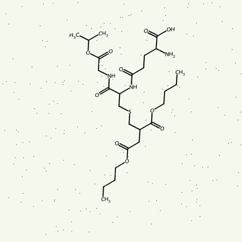 CCCCOC(=O)CC(CSCC(NC(=O)CCC(N)C(=O)O)C(=O)NCC(=O)OC(C)C)C(=O)OCCCC